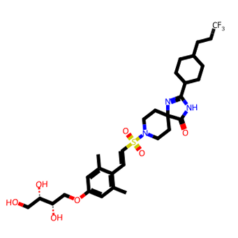 Cc1cc(OC[C@H](O)[C@@H](O)CO)cc(C)c1C=CS(=O)(=O)N1CCC2(CC1)N=C(C1CCC(CCC(F)(F)F)CC1)NC2=O